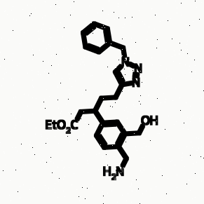 CCOC(=O)CC(CCc1cn(Cc2ccccc2)nn1)c1ccc(CN)c(CO)c1